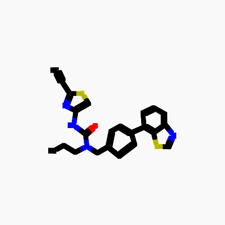 C#Cc1nc(NC(=O)N(CCC#N)Cc2ccc(-c3cccc4ncsc34)cc2)cs1